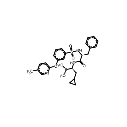 O=C(N[C@@H](CC1CC1)B(O)O)[C@H](Cc1ccccc1)NS(=O)(=O)c1cccc(Oc2ccc(C(F)(F)F)cn2)c1